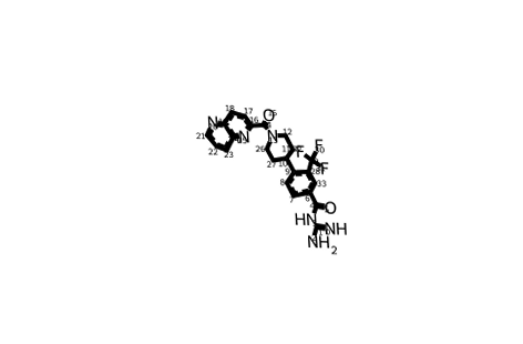 N=C(N)NC(=O)c1ccc(C2CCN(C(=O)c3ccc4ncccc4n3)CC2)c(C(F)(F)F)c1